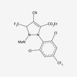 CCOC(=O)C1=C(C#N)C(C(F)(F)F)N(NC)N1c1c(Cl)cc(C(F)(F)F)cc1Cl